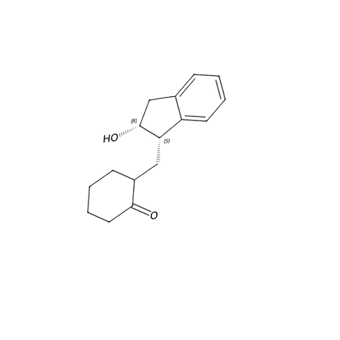 O=C1CCCCC1C[C@H]1c2ccccc2C[C@H]1O